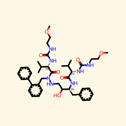 COCCNC(=O)N[C@H](C(=O)N[C@@H](Cc1ccccc1)C(O)CNN(Cc1ccccc1-c1ccccc1)C(=O)[C@@H](NC(=O)NCCOC)C(C)C)C(C)C